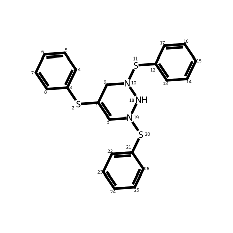 C1=C(Sc2ccccc2)CN(Sc2ccccc2)NN1Sc1ccccc1